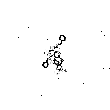 CC(C)[C@H](NC(=O)OCc1ccccc1)C(=O)N(C(=O)OCc1ccccc1)[C@H](C(=O)N1C[C@H]1[C@H]1OC(C)(C)O[C@@H]1[C@@H]1CN1)C(C)C